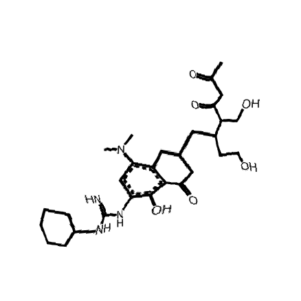 CC(=O)CC(=O)C(CO)C(CCO)CC1CC(=O)c2c(O)c(NC(=N)NC3CCCCC3)cc(N(C)C)c2C1